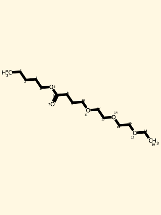 CCCCCOC(=O)CCCOCCOCCOCC